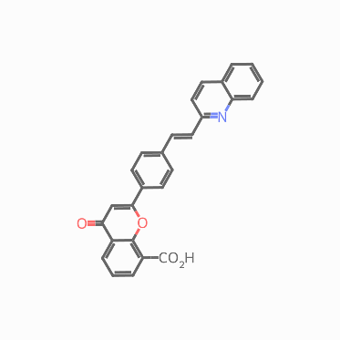 O=C(O)c1cccc2c(=O)cc(-c3ccc(C=Cc4ccc5ccccc5n4)cc3)oc12